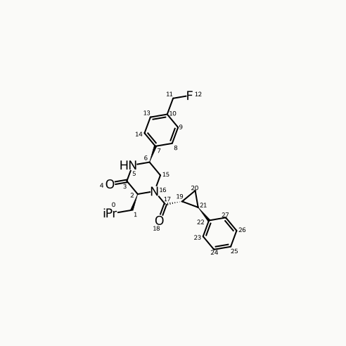 CC(C)C[C@H]1C(=O)N[C@@H](c2ccc(CF)cc2)CN1C(=O)[C@@H]1C[C@H]1c1ccccc1